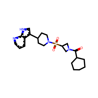 O=C(C1CCCCC1)N1CC(S(=O)(=O)N2CCC(c3c[nH]c4ncccc34)CC2)C1